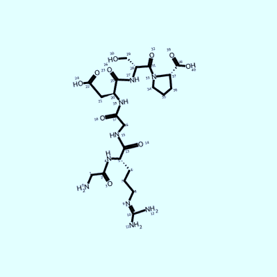 NCC(=O)N[C@@H](CCCN=C(N)N)C(=O)NCC(=O)N[C@@H](CC(=O)O)C(=O)N[C@H](CO)C(=O)N1CCC[C@H]1C(=O)O